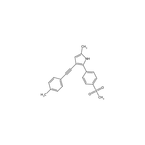 Cc1ccc(C#Cc2cc(C)[nH]c2-c2ccc(S(C)(=O)=O)cc2)cc1